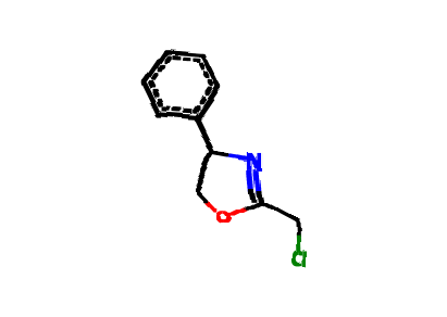 ClCC1=NC(c2ccccc2)CO1